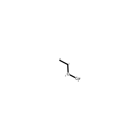 CC[O][Ga]